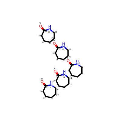 O=C1CCCCCN1.O=C1CCCCCN1.O=C1CCCCCN1.O=C1CCCCCN1.O=C1CCCCCN1